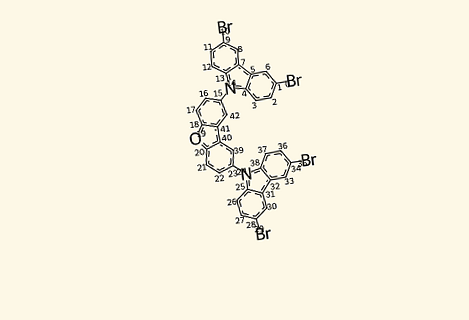 Brc1ccc2c(c1)c1cc(Br)ccc1n2-c1ccc2oc3ccc(-n4c5ccc(Br)cc5c5cc(Br)ccc54)cc3c2c1